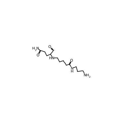 NCCCNC(=O)CCCCNC([C]=O)CCC(N)=O